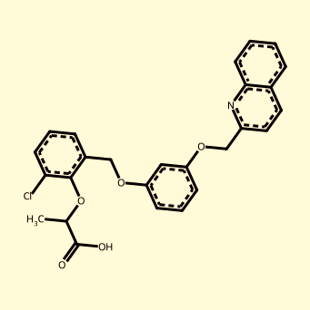 CC(Oc1c(Cl)cccc1COc1cccc(OCc2ccc3ccccc3n2)c1)C(=O)O